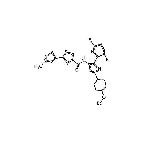 CCOC1CCC(n2cc(NC(=O)c3csc(-c4cnn(C)c4)n3)c(-c3nc(F)ccc3F)n2)CC1